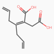 C=CCC(CC=C)=C(CC(=O)O)C(=O)O